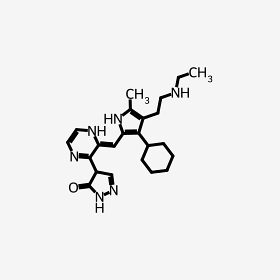 CCNCCc1c(C)[nH]c(C=C2NC=CN=C2C2C=NNC2=O)c1C1CCCCC1